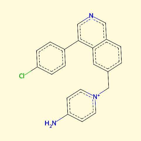 Nc1cc[n+](Cc2ccc3cncc(-c4ccc(Cl)cc4)c3c2)cc1